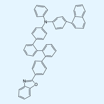 c1ccc(N(c2ccc(-c3ccccc3-c3ccccc3-c3ccc(-c4nc5ccccc5o4)cc3)cc2)c2ccc(-c3cccc4ccccc34)cc2)cc1